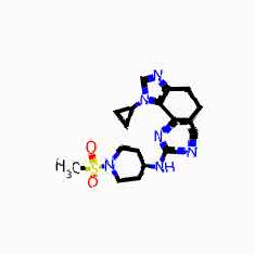 CS(=O)(=O)N1CCC(Nc2ncc3c(n2)-c2c(ncn2C2CC2)CC3)CC1